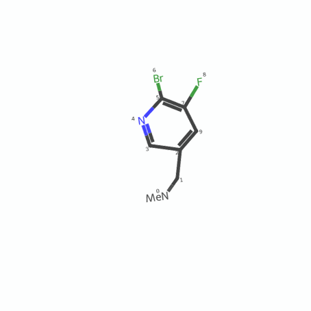 CNCc1cnc(Br)c(F)c1